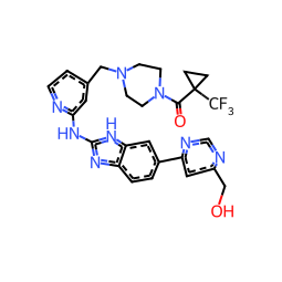 O=C(N1CCN(Cc2ccnc(Nc3nc4ccc(-c5cc(CO)ncn5)cc4[nH]3)c2)CC1)C1(C(F)(F)F)CC1